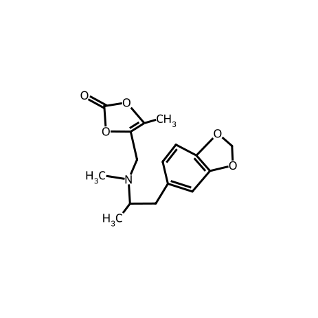 Cc1oc(=O)oc1CN(C)C(C)Cc1ccc2c(c1)OCO2